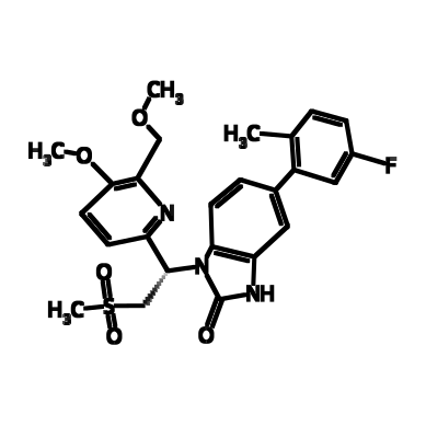 COCc1nc([C@@H](CS(C)(=O)=O)n2c(=O)[nH]c3cc(-c4cc(F)ccc4C)ccc32)ccc1OC